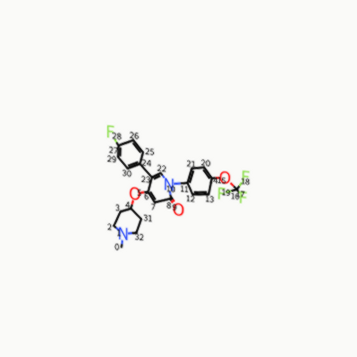 CN1CCC(Oc2cc(=O)n(-c3ccc(OC(F)(F)F)cc3)cc2-c2ccc(F)cc2)CC1